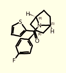 O=C(c1cccs1)N1[C@@H]2CC[C@H]1C[C@@H](c1ccc(F)cc1)C2